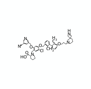 Cc1c(COc2cc(OCc3cncc(C#N)c3)c(CN3CCCC[C@H]3C(=O)O)cc2Cl)cccc1-c1cccc(OCCCN2CCCC3(CNC3)C2)c1C